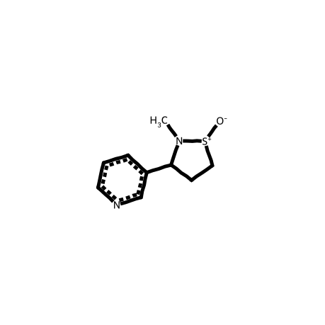 CN1C(c2cccnc2)CC[S+]1[O-]